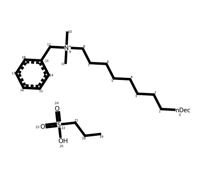 CCCCCCCCCCCCCCCCCC[N+](C)(C)Cc1ccccc1.CCCS(=O)(=O)O